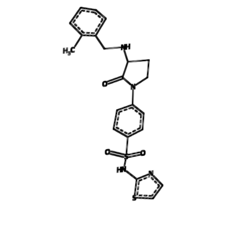 Cc1ccccc1CNC1CCN(c2ccc(S(=O)(=O)Nc3nccs3)cc2)C1=O